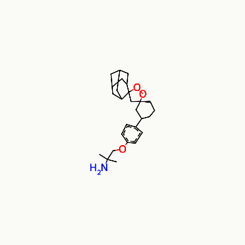 CC(C)(N)COc1ccc(C2CCC[C@@]3(C2)CC2(OO3)C3CC4CC(C3)CC2C4)cc1